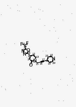 O=c1cc(-c2nnc(C(F)F)o2)ccn1CC#Cc1ccncc1